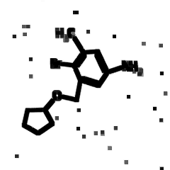 Cc1cc(N)cc(COC2CCCC2)c1Br